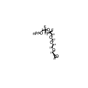 CCCOCC(F)(F)OC(F)(F)COCOCCOCC1CO1